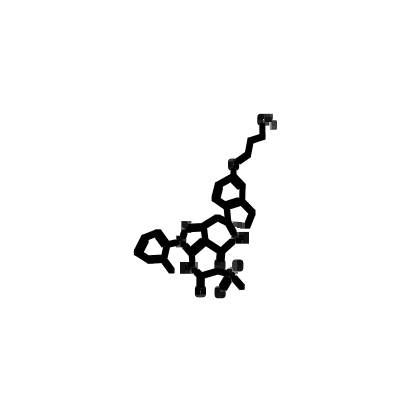 Cc1ccccc1-n1nc2c(c1NC(=O)CS(C)(=O)=O)C(=O)N[C@@]1(CCc3cc(OCCCC(F)(F)F)ccc31)C2